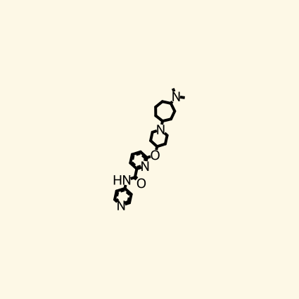 CN(C)C1CCCC(N2CCC(Oc3cccc(C(=O)Nc4ccncc4)n3)CC2)CC1